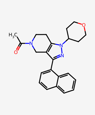 CC(=O)N1CCc2c(c(-c3cccc4ccccc34)nn2C2CCOCC2)C1